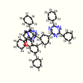 c1ccc(-c2cc(-c3ccc(-c4nc(-c5ccccc5)nc(-c5ccccc5)n4)cc3-c3nc(-c4ccccc4)nc(-c4ccccc4)n3)c3c(c2)oc2ccccc23)cc1